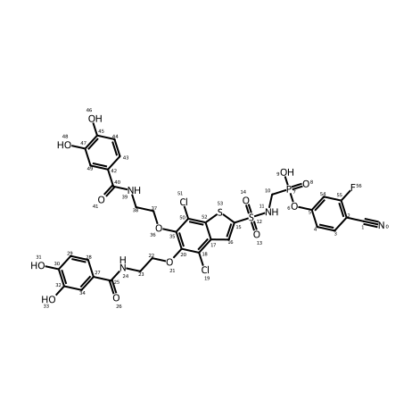 N#Cc1ccc(OP(=O)(O)CNS(=O)(=O)c2cc3c(Cl)c(OCCNC(=O)c4ccc(O)c(O)c4)c(OCCNC(=O)c4ccc(O)c(O)c4)c(Cl)c3s2)cc1F